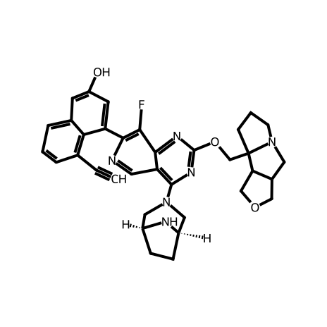 C#Cc1cccc2cc(O)cc(-c3ncc4c(N5C[C@H]6CC[C@@H](C5)N6)nc(OCC56CCCN5CC5COCC56)nc4c3F)c12